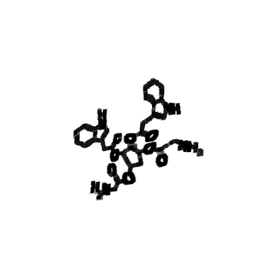 NCC(=O)OC1CC(OC(=O)CN)[C@@H](OC(=O)Cc2c[nH]c3ccccc23)C1OC(=O)Cc1c[nH]c2ccccc12